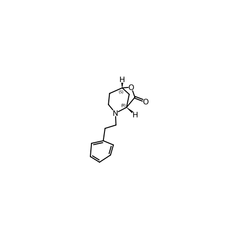 O=C1O[C@H]2CCN(CCc3ccccc3)[C@@H]1C2